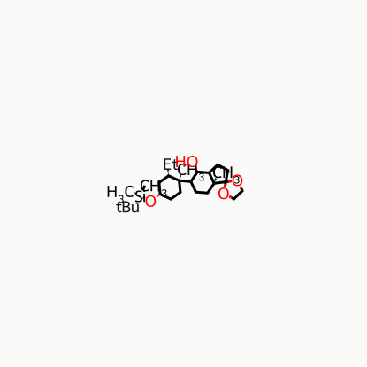 CC[C@H]1C[C@@H](O[Si](C)(C)C(C)(C)C)CC[C@]1(C)C1CC[C@@]2(C)C(CCC23OCCO3)[C@@H]1O